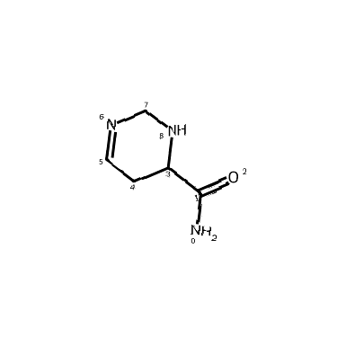 NC(=O)C1CC=NCN1